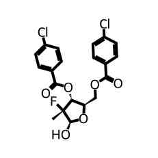 C[C@]1(F)[C@H](O)O[C@H](COC(=O)c2ccc(Cl)cc2)[C@H]1OC(=O)c1ccc(Cl)cc1